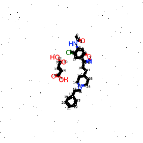 CC(=O)Nc1cc2onc(CCC3CCN(CCc4ccccc4)CC3)c2cc1Cl.O=C(O)C=CC(=O)O